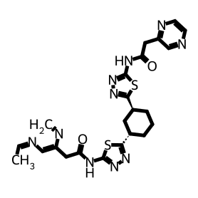 C=N/C(=C\N=C/C)CC(=O)Nc1nnc([C@H]2CCC[C@H](c3nnc(NC(=O)Cc4cnccn4)s3)C2)s1